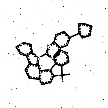 CC1(C)c2ccccc2-c2c1ccc1ccc3c4ccccc4n(-c4ncc5cc(-c6ccccc6)ccc5n4)c3c21